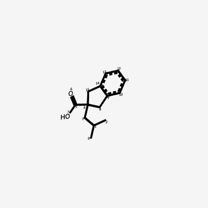 CC(C)CC1(C(=O)O)Cc2ccccc2C1